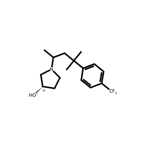 CC(CC(C)(C)c1ccc(C(F)(F)F)cc1)N1CC[C@H](O)C1